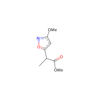 COC(=O)C(C)c1cc(OC)no1